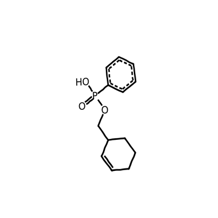 O=P(O)(OCC1C=CCCC1)c1ccccc1